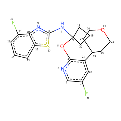 Fc1cnc(OC2(Nc3nc4c(F)cccc4s3)CCC2)c(C2CCOCC2)c1